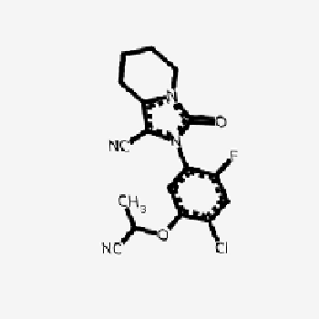 CC(C#N)Oc1cc(-n2c(C#N)c3n(c2=O)CCCC3)c(F)cc1Cl